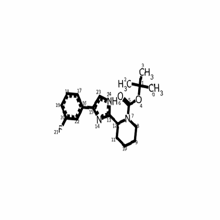 CC(C)(C)OC(=O)N1CCCCC1c1nc(-c2cccc(F)c2)c[nH]1